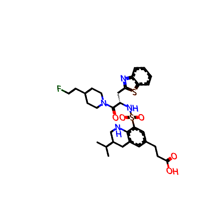 CC(C)C1CNc2c(cc(CCC(=O)O)cc2S(=O)(=O)N[C@@H](Cc2nc3ccccc3s2)C(=O)N2CCC(CCF)CC2)C1